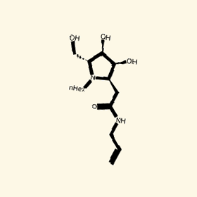 C=CCNC(=O)C[C@@H]1[C@H](O)[C@H](O)[C@@H](CO)N1CCCCCC